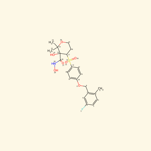 Cc1ccc(F)cc1COc1ccc(S(=O)(=O)C2CCOC(C)(C)C2(O)C(=O)NO)cc1